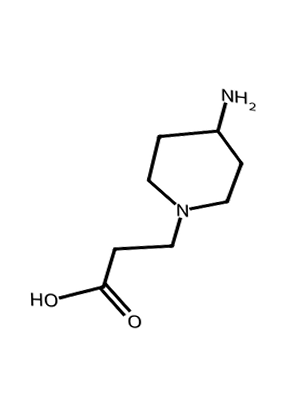 NC1CCN(CCC(=O)O)CC1